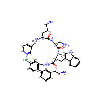 CN1C(=O)[C@H](CN)NC(=O)[C@H](CCCN)NCc2cccnc2Sc2c(Cl)ccc(-c3cccc(CCN)c3)c2CNC(=O)[C@@H]1Cc1c[nH]c2ccccc12